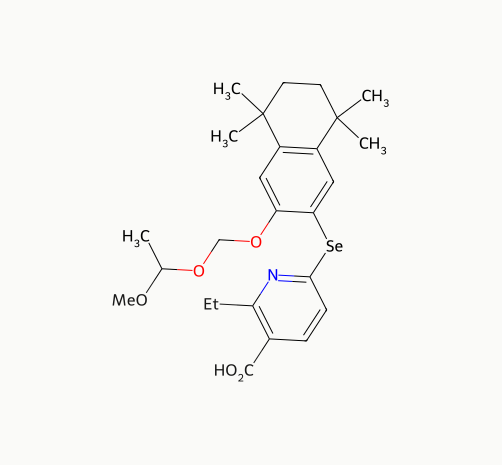 CCc1nc([Se]c2cc3c(cc2OCOC(C)OC)C(C)(C)CCC3(C)C)ccc1C(=O)O